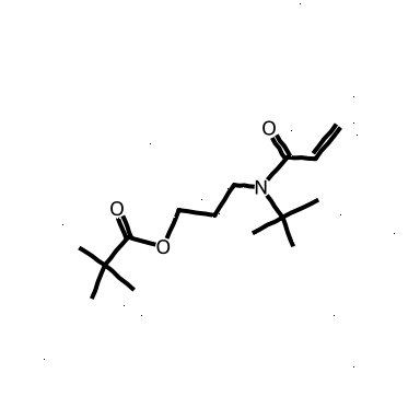 C=CC(=O)N(CCCOC(=O)C(C)(C)C)C(C)(C)C